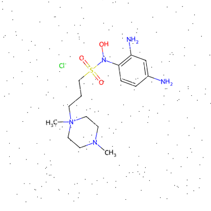 CN1CC[N+](C)(CCCS(=O)(=O)N(O)c2ccc(N)cc2N)CC1.[Cl-]